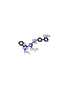 COc1ccncc1-c1ccc(NC(=O)C[C@H]2C[C@@H](C(=O)O)N(c3nc(C)nc4c3oc3ccccc34)C2)cc1